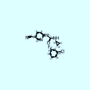 N#Cc1ccc(NC(=O)N[C@@H]2C[C@@H]2c2c(F)cccc2Cl)nc1